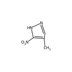 Cc1cn[nH]c1[N+](=O)[O-]